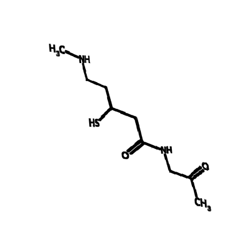 CNCCC(S)CC(=O)NCC(C)=O